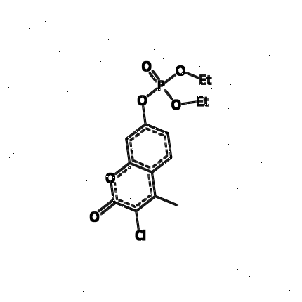 CCOP(=O)(OCC)Oc1ccc2c(C)c(Cl)c(=O)oc2c1